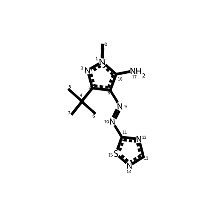 Cn1nc(C(C)(C)C)c(N=Nc2ncns2)c1N